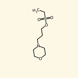 CCS(=O)(=O)OCCCN1CCOCC1